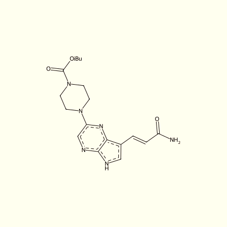 CC(C)COC(=O)N1CCN(c2cnc3[nH]cc(C=CC(N)=O)c3n2)CC1